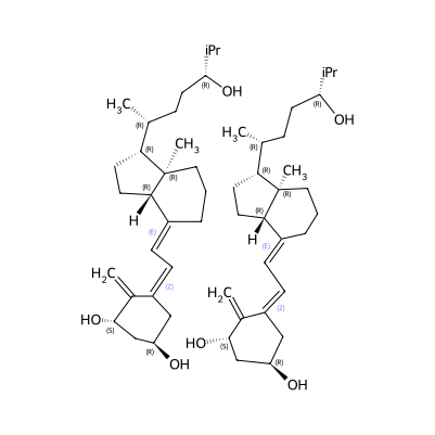 C=C1/C(=C\C=C2/CCC[C@]3(C)[C@@H]([C@H](C)CC[C@@H](O)C(C)C)CC[C@@H]23)C[C@@H](O)C[C@@H]1O.C=C1/C(=C\C=C2/CCC[C@]3(C)[C@@H]([C@H](C)CC[C@@H](O)C(C)C)CC[C@@H]23)C[C@@H](O)C[C@@H]1O